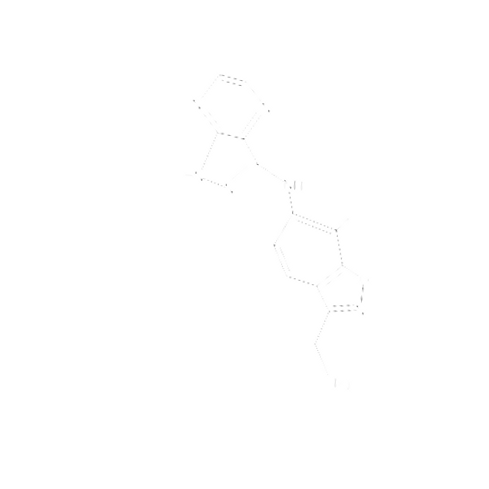 CC(C)(C)Cc1noc2c(F)c(Nc3n[nH]c4nccnc34)ccc12